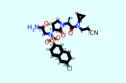 C[C@@H](C(=O)N(CCC#N)C1CC1)N1CC[C@H](N(CC(N)=O)S(=O)(=O)c2ccc3cc(Cl)ccc3c2)C1=O